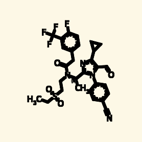 CCS(=O)(=O)CCN(C(=O)Cc1ccc(F)c(C(F)(F)F)c1)[C@H](C)c1nc(C2CC2)c(C=O)n1-c1ccc(C#N)cc1